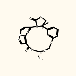 C[C@H]1CCCc2cccc(n2)[C@H]2COC(=O)N2c2ccn3ncc(c3n2)C(=O)N1